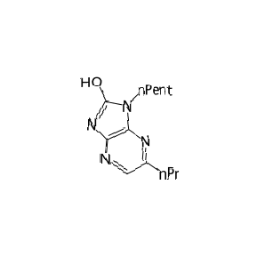 CCCCCn1c(O)nc2ncc(CCC)nc21